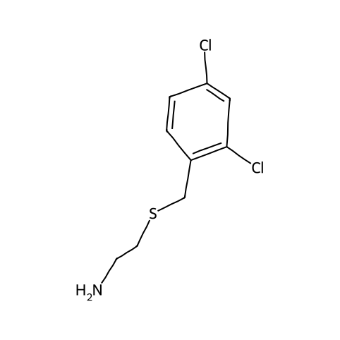 NCCSCc1ccc(Cl)cc1Cl